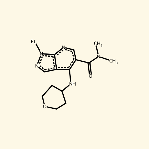 CCn1ncc2c(NC3CCOCC3)c(C(=O)N(C)C)cnc21